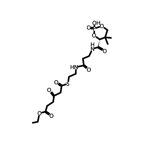 CCOC(=O)CCC(=O)CC(=O)SCCNC(=O)CCNC(=O)[C@@H]1OP(=O)(O)OCC1(C)C